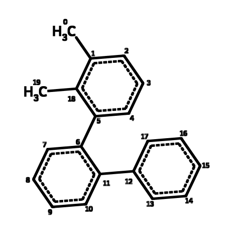 Cc1cccc(-c2ccccc2-c2ccccc2)c1C